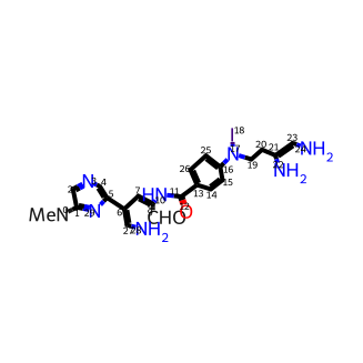 CNc1cncc(C(/C=C(\C=O)NC(=O)c2ccc(N(I)CC/C(N)=C/N)cc2)=C/N)n1